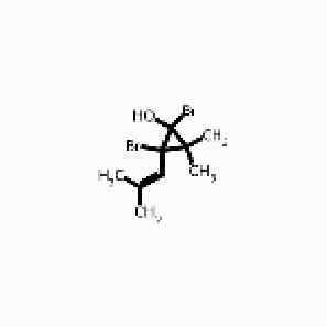 CC(C)=CC1(Br)C(C)(C)C1(O)Br